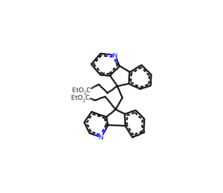 CCOC(=O)CCC1(CC2(CCC(=O)OCC)c3ccccc3-c3ncccc32)c2ccccc2-c2ncccc21